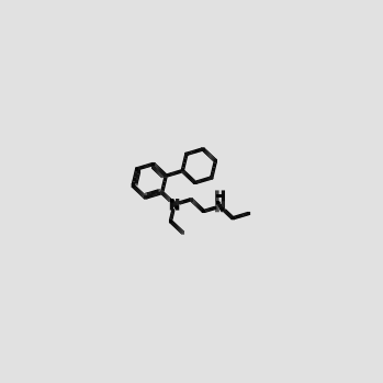 CCNCCN(CC)c1ccccc1C1CCCCC1